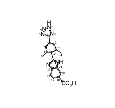 Cc1cc(-c2nn[nH]n2)cc(C)c1-c1nc2ccc(C(=O)O)cc2[nH]1